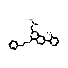 CCCCCCN(C)Cc1nc(NCCc2ccccc2)c2ccc(-c3ncccc3C(F)(F)F)cc2n1